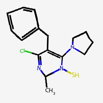 CC1N=C(Cl)C(Cc2ccccc2)=C(N2CCCC2)N1S